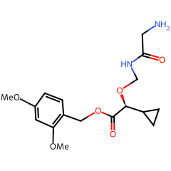 COc1ccc(COC(=O)[C@@H](OCNC(=O)CN)C2CC2)c(OC)c1